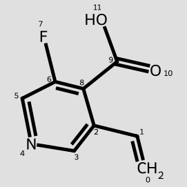 C=Cc1cncc(F)c1C(=O)O